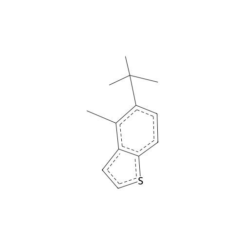 Cc1c(C(C)(C)C)ccc2sccc12